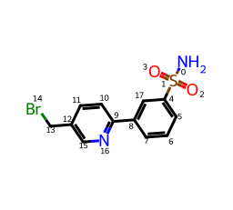 NS(=O)(=O)c1cccc(-c2ccc(CBr)cn2)c1